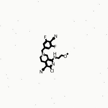 COCCNc1nc(Cl)c(C#N)c2c1CN(Cc1cc(F)c(C#N)c(F)c1)CC2